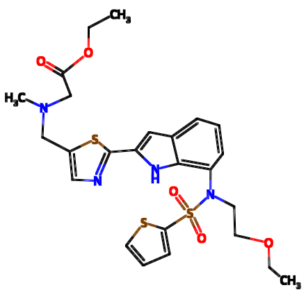 CCOCCN(c1cccc2cc(-c3ncc(CN(C)CC(=O)OCC)s3)[nH]c12)S(=O)(=O)c1cccs1